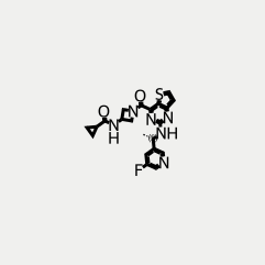 C[C@H](Nc1nc(C(=O)N2CC(NC(=O)C3CC3)C2)c2sccc2n1)c1cncc(F)c1